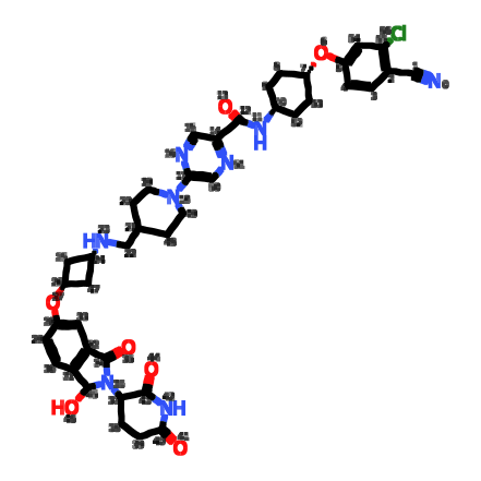 N#Cc1ccc(O[C@H]2CC[C@H](NC(=O)c3cnc(N4CCC(CN[C@H]5C[C@H](Oc6ccc7c(c6)C(=O)N(C6CCC(=O)NC6=O)C7O)C5)CC4)cn3)CC2)cc1Cl